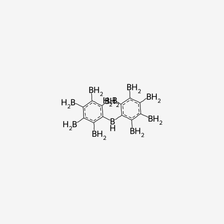 Bc1c(B)c(B)c(Bc2c(B)c(B)c(B)c(B)c2B)c(B)c1B